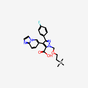 C[Si](C)(C)CCOCn1nc(-c2ccc(F)cc2)c(-c2ccc3nccn3c2)c1C(=O)O